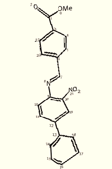 COC(=O)c1ccc(C=Nc2ccc(-c3ccccc3)cc2[N+](=O)[O-])cc1